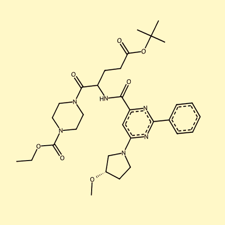 CCOC(=O)N1CCN(C(=O)C(CCC(=O)OC(C)(C)C)NC(=O)c2cc(N3CC[C@H](OC)C3)nc(-c3ccccc3)n2)CC1